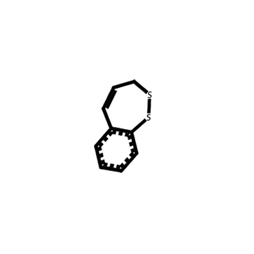 [CH]1C=Cc2ccccc2SS1